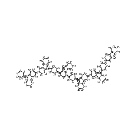 c1ccc(-n2c3ccccc3c3cc(-c4ccc5c(c4)c4ccccc4n5-c4ccc(-c5ccc(-c6ccc(-n7c8ccccc8c8cc(-c9ccc%10c(c9)c9ccccc9n%10-c9ccc(-c%10ccc%11c(c%10)sc%10ccccc%10%11)cc9)ccc87)cc6)c6c5sc5ccccc56)cc4)ccc32)cc1